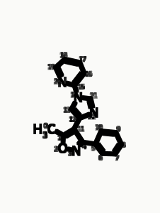 Cc1onc(-c2ccccc2)c1-c1cn(-c2ccccn2)cn1